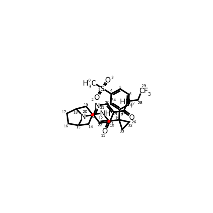 CS(=O)(=O)c1cccc(C2(C(=O)NC3CC4CCC(C3)N4c3ccc(C(=O)NCC(F)(F)F)cn3)CC2)c1